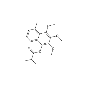 COc1c(OC)c(OC)c2c(C)cccc2c1OC(=O)C(C)C